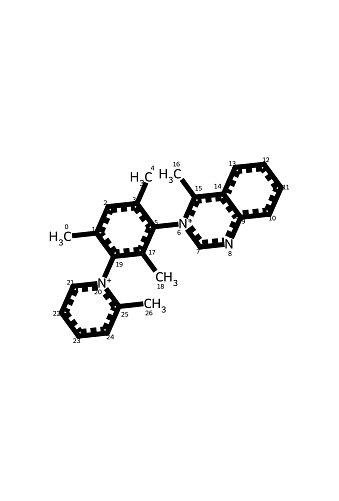 Cc1cc(C)c(-[n+]2cnc3ccccc3c2C)c(C)c1-[n+]1ccccc1C